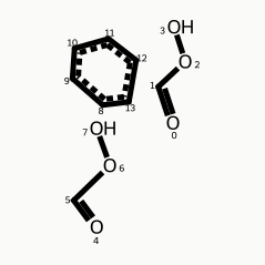 O=COO.O=COO.c1ccccc1